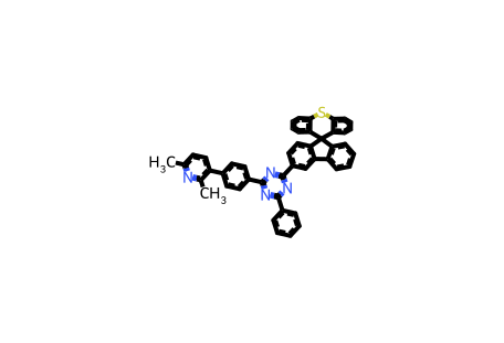 Cc1ccc(-c2ccc(-c3nc(-c4ccccc4)nc(-c4ccc5c(c4)-c4ccccc4C54c5ccccc5Sc5ccccc54)n3)cc2)c(C)n1